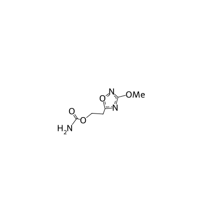 COc1noc(CCOC(N)=O)n1